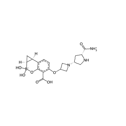 [NH3+]C(=O)[C@H]1C[C@@H](N2CC(Oc3ccc4c(c3C(=O)O)O[B-](O)(O)[C@H]3C[C@@H]43)C2)CN1